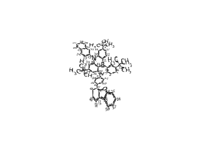 CC(C)(C)c1ccc2c(c1)B1c3ccc(C(C)(C)C)cc3N(c3ccc4ccccc4c3)c3cc(C(C)(C)C)cc(c31)N2c1ccc(-c2cccc3c2oc2ccccc23)cc1